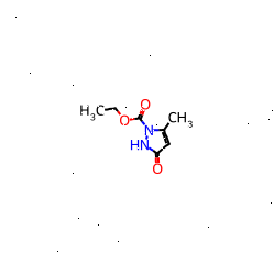 CCOC(=O)n1[nH]c(=O)cc1C